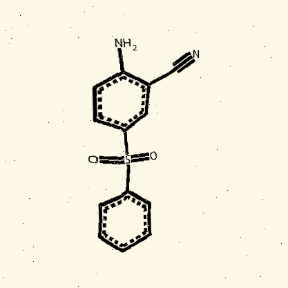 N#Cc1cc(S(=O)(=O)c2ccccc2)ccc1N